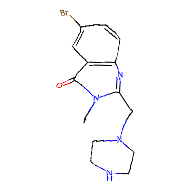 Cn1c(CN2CCNCC2)nc2ccc(Br)cc2c1=O